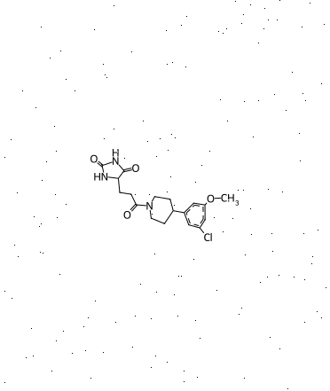 COc1cc(Cl)cc(C2CCN(C(=O)CCC3NC(=O)NC3=O)CC2)c1